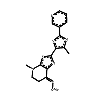 CO/N=C1\CCN(C)c2sc(-c3sc(-c4cccnc4)nc3C)nc21